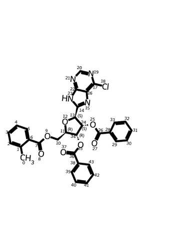 Cc1ccccc1C(=O)OC[C@H]1O[C@@H](c2nc3c(Cl)ncnc3[nH]2)[C@H](OC(=O)c2ccccc2)[C@@H]1OC(=O)c1ccccc1